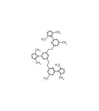 Cc1cc(CCc2cc(CCc3cc(C)cc(-n4c(C)ccc4C)n3)cc(-n3c(C)ccc3C)c2)nc(-n2c(C)ccc2C)c1